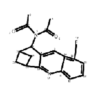 CC(=O)N(C(C)=O)C1c2cc3c(F)cccc3nc2C2CC1C2